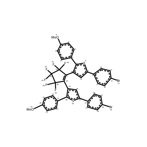 COc1ccc(-c2sc(-c3ccc(Br)cc3)cc2C2=C(c3cc(-c4ccc(Br)cc4)sc3-c3ccc(OC)cc3)C(F)(F)C(F)(F)C2(F)F)cc1